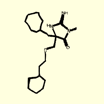 CN1C(=N)NC(COCCC2CCCCC2)(CC2CCCCC2)C1=O